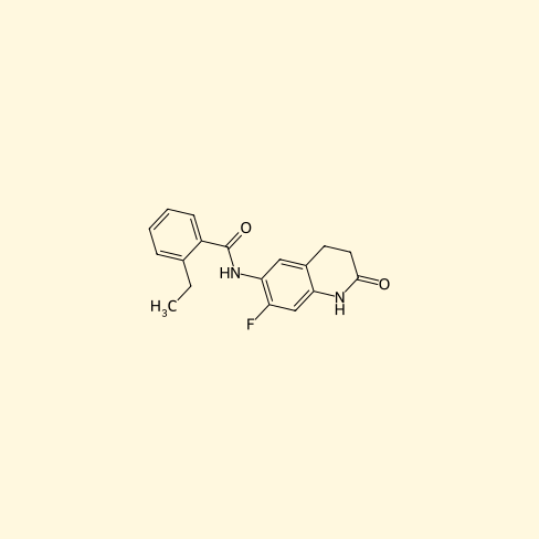 CCc1ccccc1C(=O)Nc1cc2c(cc1F)NC(=O)CC2